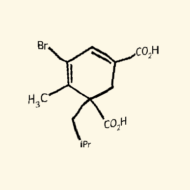 CC1=C(Br)C=C(C(=O)O)CC1(CC(C)C)C(=O)O